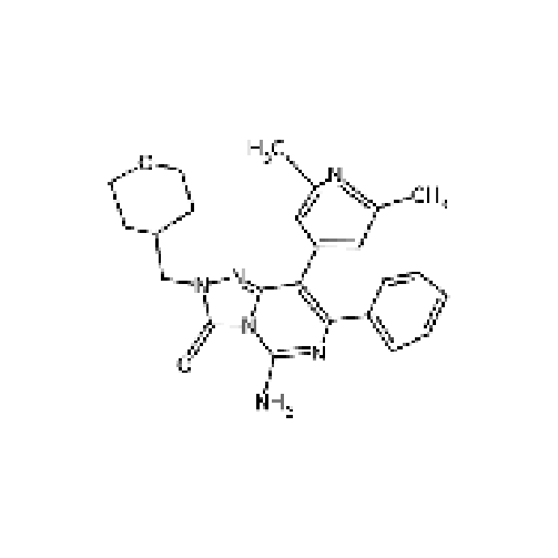 Cc1cc(-c2c(-c3ccccc3)nc(N)n3c(=O)n(CC4CCOCC4)nc23)cc(C)n1